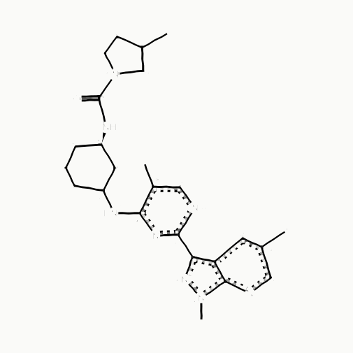 CC1CCN(C(=O)N[C@@H]2CCCC(Nc3nc(-c4nn(C)c5ncc(Cl)cc45)ncc3F)C2)C1